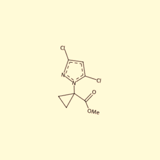 COC(=O)C1(n2nc(Cl)cc2Cl)CC1